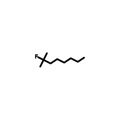 CCCCCCC(C)(C)F